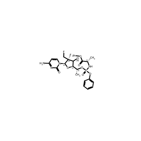 CC(C)OC(=O)[C@H](C)NP(=O)(Oc1ccccc1)O[C@H](C)[C@H]1O[C@@H](n2ccc(N)nc2=O)[C@@](F)(CF)C1O